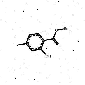 Cc1ccc(C(=O)OBr)c(O)c1